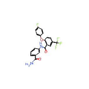 NC(=O)c1cccc(NC(=O)c2cc(C(F)(F)F)ccc2Oc2ccc(F)cc2)c1